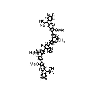 COc1cc(/C=C2\C(=O)c3cc(F)c(F)cc3C2=C(C#N)C#N)sc1-c1cc2c(s1)-c1sc(-c3c(F)c(F)c(-c4cc5c(s4)-c4sc(-c6sc(/C=C7\C(=O)c8cc(F)c(F)cc8C7=C(C#N)C#N)cc6OC)cc4C(C)(C)O5)c4nsnc34)cc1C(C)(C)O2